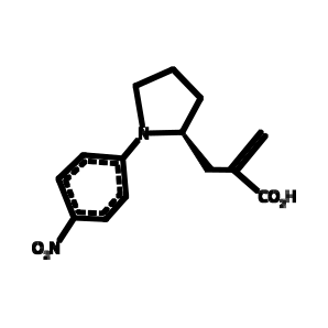 C=C(C[C@@H]1CCCN1c1ccc([N+](=O)[O-])cc1)C(=O)O